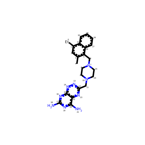 CCc1cc(C)c(CN2CCN(Cc3nnc4nc(N)nc(N)c4n3)CC2)c2ccccc12